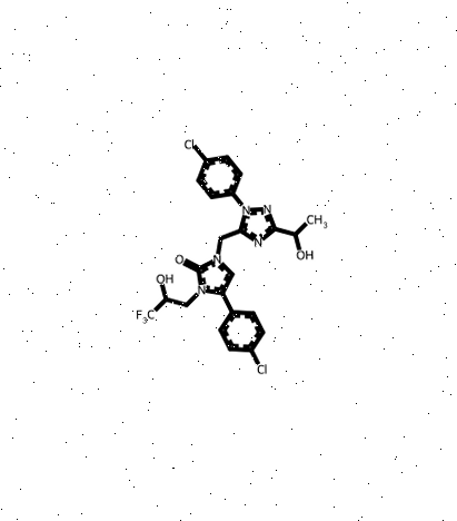 CC(O)c1nc(Cn2cc(-c3ccc(Cl)cc3)n(CC(O)C(F)(F)F)c2=O)n(-c2ccc(Cl)cc2)n1